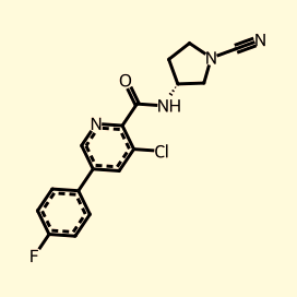 N#CN1CC[C@@H](NC(=O)c2ncc(-c3ccc(F)cc3)cc2Cl)C1